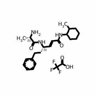 CC1CCCCC1NC(=O)C=C[C@H](CCc1ccccc1)NC(=O)[C@H](C)N.O=C(O)C(F)(F)F